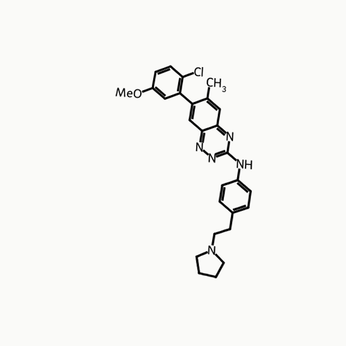 COc1ccc(Cl)c(-c2cc3nnc(Nc4ccc(CCN5CCCC5)cc4)nc3cc2C)c1